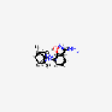 Nc1noc2c(N3C[C@@H]4CC[C@H]3[C@@H]4N)cccc12